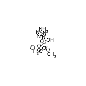 CCOP(C[C@H]1[C@@H](O)[C@H](n2cnc3c(N)ncnc32)O[C@@H]1COC(=O)c1ccccc1)OCC